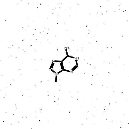 Cn1cnc2c1N=CNC2N